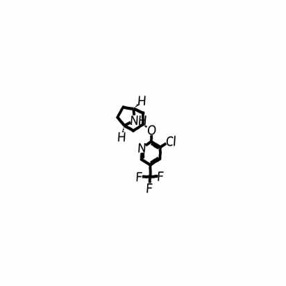 FC(F)(F)c1cnc(O[C@@H]2C[C@H]3CC[C@@H](C2)N3)c(Cl)c1